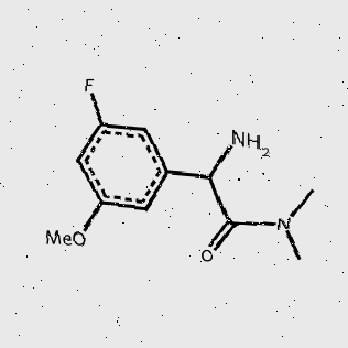 COc1cc(F)cc(C(N)C(=O)N(C)C)c1